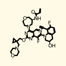 C#Cc1c(F)ccc2c1N(c1ncc3c(N4CCOC[C@@H](NC(=O)C=C)C4)nc(OCC4(CN5CCOCC5)CC4)nc3c1F)C[C@H](O)C2